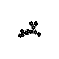 CC1(C)c2cc(N(c3ccc(-c4ccccc4)cc3)c3ccc(N(c4ccccc4)c4ccccc4)cc3)ccc2-c2ccc(-n3c4ccccc4c4c5ccccc5ccc43)cc21